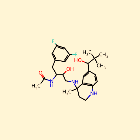 CC(=O)NC(Cc1cc(F)cc(F)c1)C(O)CNC1(C)CCNc2ccc(C(O)C(C)(C)C)cc21